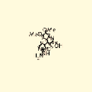 COc1cc2nc(CO)c(CO)c(-c3ccnc(NN)c3)c2cc1OC